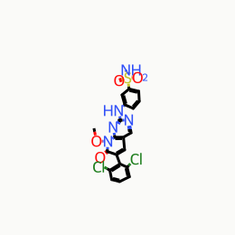 COn1c(=O)c(-c2c(Cl)cccc2Cl)cc2cnc(Nc3cccc(S(N)(=O)=O)c3)nc21